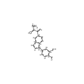 C=C(C(N)=O)c1ccc2c(ccn2-c2ccc(F)c(F)c2)c1